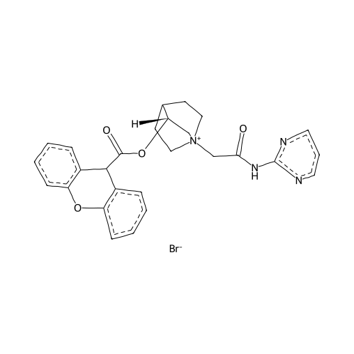 O=C(C[N+]12CCC(CC1)[C@@H](OC(=O)C1c3ccccc3Oc3ccccc31)C2)Nc1ncccn1.[Br-]